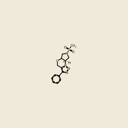 CS(=O)(=O)N1CC2OCc3c(-c4ccccc4)nnn3[C@@H]2C1